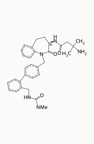 CNC(=O)NCc1ccccc1-c1ccc(CN2C(=O)[C@H](NC(=O)CC(C)(C)N)CCc3ccccc32)cc1